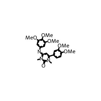 COc1ccc(-c2cc(=Nc3cc(OC)c(OC)c(OC)c3)n(C)c(=O)n2C)cc1OC